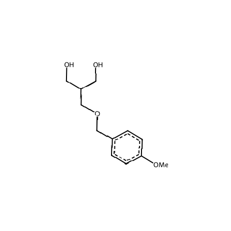 COc1ccc(COCC(CO)CO)cc1